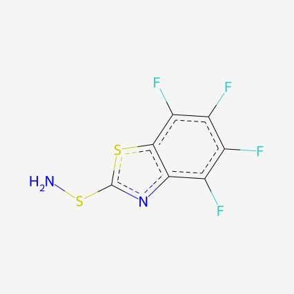 NSc1nc2c(F)c(F)c(F)c(F)c2s1